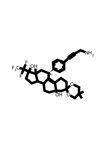 CC1(C)COC2(CCC3=C4C(CCC3(O)C2)C2CCC(O)(C(F)(F)C(F)(F)F)C2(C)C[C@@H]4c2ccc(C#CCN)cc2)OC1